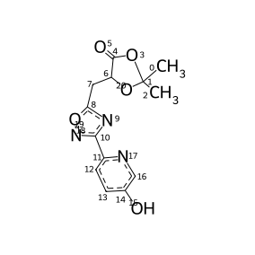 CC1(C)OC(=O)C(Cc2nc(-c3ccc(O)cn3)no2)O1